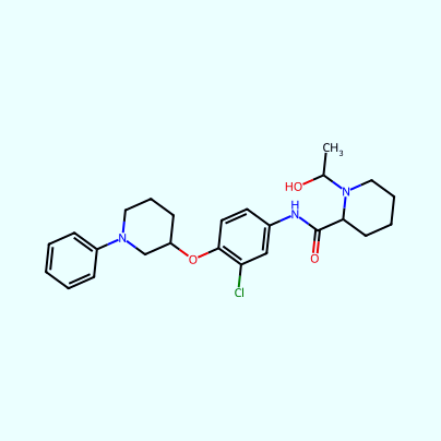 CC(O)N1CCCCC1C(=O)Nc1ccc(OC2CCCN(c3ccccc3)C2)c(Cl)c1